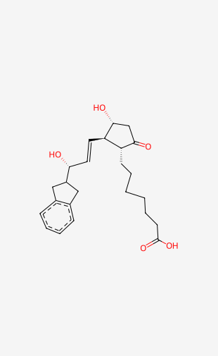 O=C(O)CCCCCC[C@H]1C(=O)C[C@@H](O)[C@@H]1/C=C/[C@@H](O)C1Cc2ccccc2C1